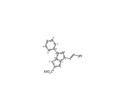 CCOC(=O)c1cc2c(/C=C/C(C)C)nn(-c3cnccn3)c2s1